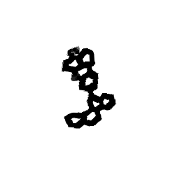 N#Cc1ccc2c3c(cccc13)-c1ccc(-c3cc4c5ccccc5ccc4c4ccccc34)cc1O2